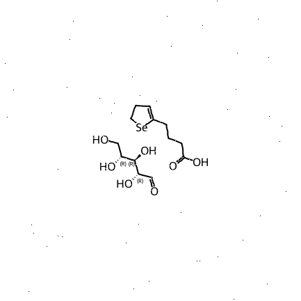 O=C(O)CCCC1=CCC[Se]1.O=C[C@H](O)[C@H](O)[C@H](O)CO